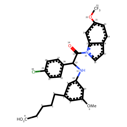 COc1cc(CCCCC(=O)O)cc(NC(C(=O)n2ccc3ccc(OC(F)(F)F)cc32)c2ccc(Cl)cc2)c1